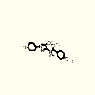 CCOC(=O)c1cn(C2=CCNCC2)nc1N(C(=O)C1CCC(C)CC1)C(C)C